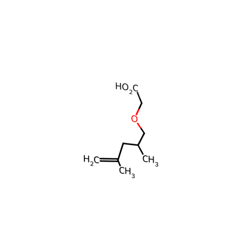 C=C(C)CC(C)COCC(=O)O